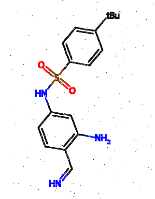 CC(C)(C)c1ccc(S(=O)(=O)Nc2ccc(C=N)c(N)c2)cc1